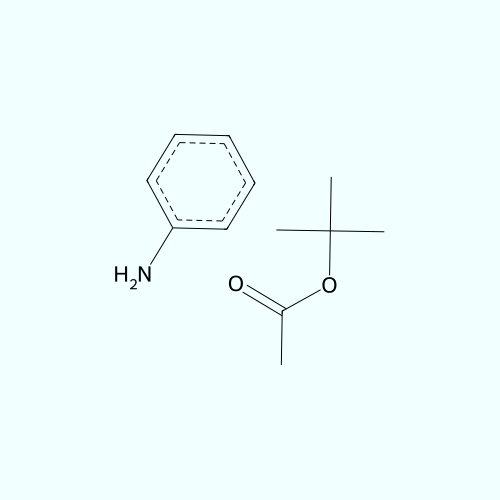 CC(=O)OC(C)(C)C.Nc1ccccc1